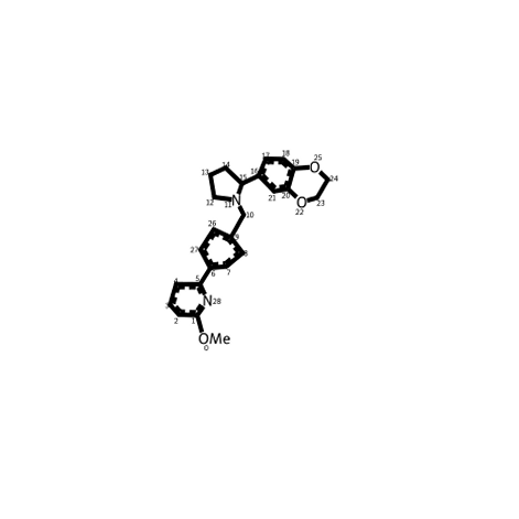 COc1cccc(-c2ccc(CN3CCCC3c3ccc4c(c3)OCCO4)cc2)n1